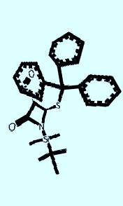 CC(C)(C)[Si](C)(C)N1C(=O)[C@H](C=O)[C@H]1SC(c1ccccc1)(c1ccccc1)c1ccccc1